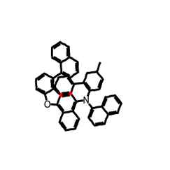 CC1C=CC(N(c2cccc3ccccc23)c2cc3c(oc4cccc(-c5cccc6ccccc56)c43)c3ccccc23)=C(C2=CCCC=C2)C1